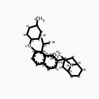 CC1CCC(Oc2ccc3ccc(CN4C5CCCC4CC(C(=O)O)C5)cc3c2C(F)F)CC1